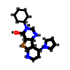 O=c1c2sc3nccc(-n4cccc4)c3c2ncn1C1CCCCC1